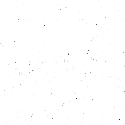 O=C(CS)NCCCCCNC(=O)c1cccc(N(c2ccccc2)c2ccccc2)c1I